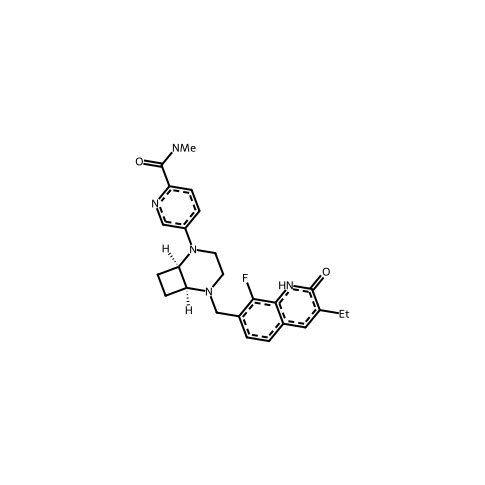 CCc1cc2ccc(CN3CCN(c4ccc(C(=O)NC)nc4)[C@@H]4CC[C@@H]43)c(F)c2[nH]c1=O